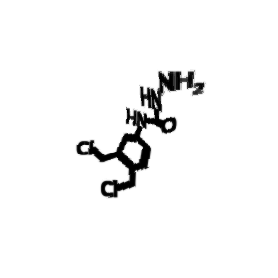 NNC(=O)Nc1ccc(CCl)c(CCl)c1